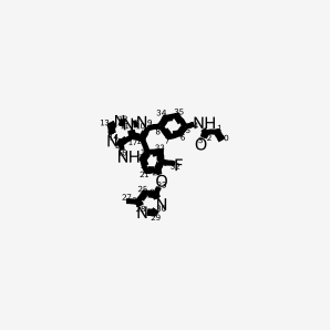 C=CC(=O)Nc1ccc(-c2nn3ncnc(N)c3c2-c2ccc(Oc3cc(C)ncn3)c(F)c2)cc1